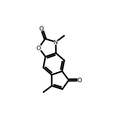 CC1=CC(=O)c2cc3c(cc21)oc(=O)n3C